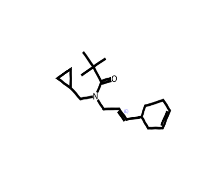 CC(C)(C)C(=O)N(C/C=C/C1CC=CCC1)CC1CC1